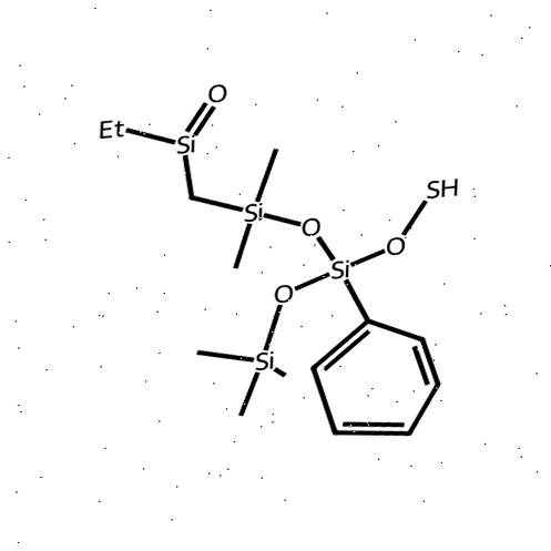 CC[Si](=O)C[Si](C)(C)O[Si](OS)(O[Si](C)(C)C)c1ccccc1